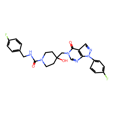 O=C(NCc1ccc(F)cc1)N1CCC(O)(Cn2cnc3c(cnn3-c3ccc(F)cc3)c2=O)CC1